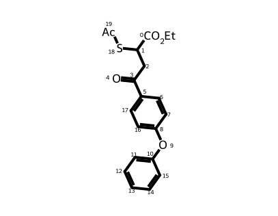 CCOC(=O)C(CC(=O)c1ccc(Oc2ccccc2)cc1)SC(C)=O